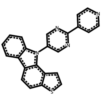 c1ccc2c(c1)c1ccc3sccc3c1n2-c1cnc(-c2ccncc2)nc1